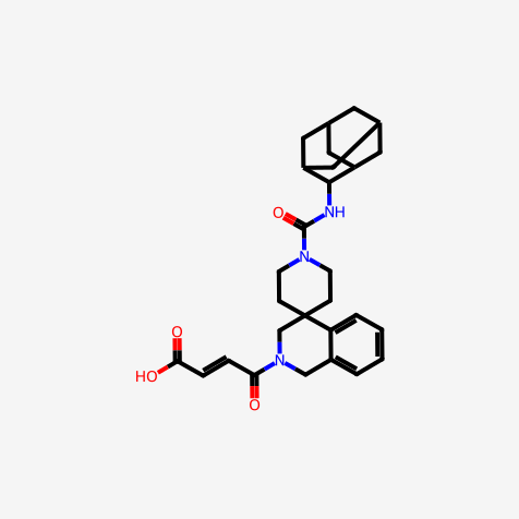 O=C(O)C=CC(=O)N1Cc2ccccc2C2(CCN(C(=O)NC3C4CC5CC(C4)CC3C5)CC2)C1